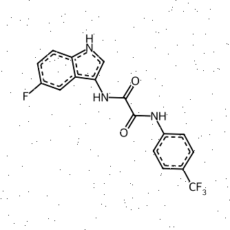 O=C(Nc1ccc(C(F)(F)F)cc1)C(=O)Nc1c[nH]c2ccc(F)cc12